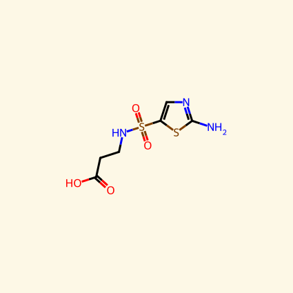 Nc1ncc(S(=O)(=O)NCCC(=O)O)s1